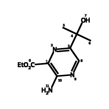 CCOC(=O)c1nc(C(C)(C)O)cnc1N